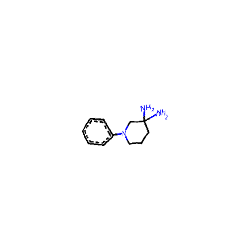 NC1(N)CCCN(c2ccccc2)C1